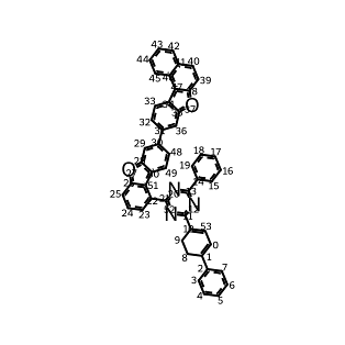 C1=C(c2ccccc2)CCC(c2nc(-c3ccccc3)nc(-c3cccc4oc5cc(-c6ccc7c(c6)oc6ccc8ccccc8c67)ccc5c34)n2)=C1